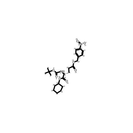 CC(C)(C)OC(=O)N[C@H](CCC(=O)OCc1ccc([N+](=O)[O-])cc1)C(=O)OC1CCCCC1